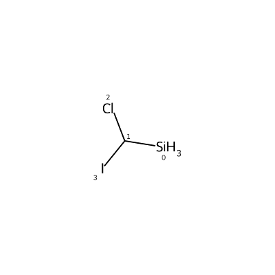 [SiH3]C(Cl)I